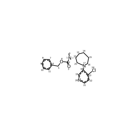 CN(C(=O)OCc1ccccc1)[C@@H]1CCCCN(c2cnccc2Cl)C1